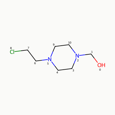 OCN1CCN(CCCl)CC1